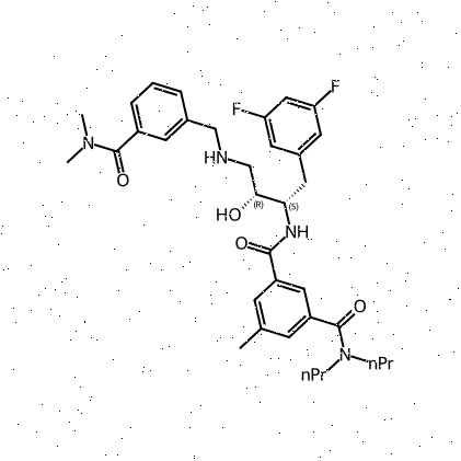 CCCN(CCC)C(=O)c1cc(C)cc(C(=O)N[C@@H](Cc2cc(F)cc(F)c2)[C@H](O)CNCc2cccc(C(=O)N(C)C)c2)c1